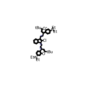 CCN(CC)c1ccc2c(c1)OC(C(C)(C)C)=C/C2=C\C=C1C(Cl)=C(/C=C/c2cc(C(C)(C)C)[o+]c3cc(N(CC)CC)ccc23)c2ccccc2\1